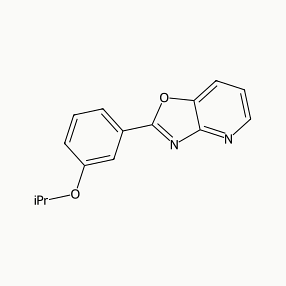 CC(C)Oc1cccc(-c2nc3ncccc3o2)c1